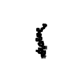 Cc1cc2c(ncn2C(C)C)c(NC2CCN(C(=O)OC3CCN(C(=O)/C=C/CN(C)C)C3)CC2)n1